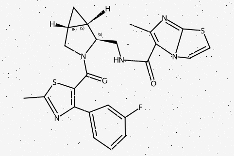 Cc1nc(-c2cccc(F)c2)c(C(=O)N2C[C@@H]3C[C@@H]3[C@H]2CNC(=O)c2c(C)nc3sccn23)s1